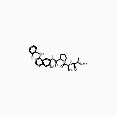 CNC(C)C(=O)NC(C(=O)N1CCCC1C(=O)Nc1cc2c(Nc3ccccc3Cl)ncnc2cc1OC)C(C)(C)C